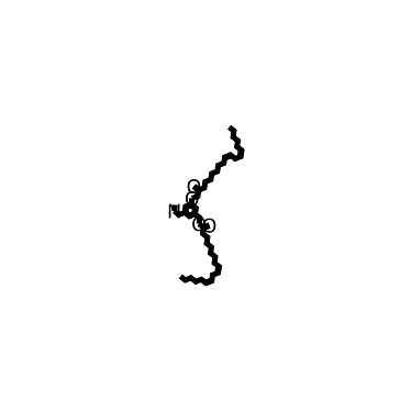 CCCCC/C=C\C/C=C\CCCCCCCC(=O)COc1cc(COC(=O)CCCCCCC/C=C\C/C=C\CCCCC)cc(CN(C)C)c1